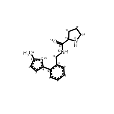 Cc1ccc(-c2ccccc2CNC(=O)C2CCCN2)s1